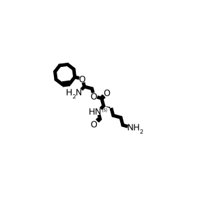 NCCCC[C@H](NC=O)C(=O)OCC(N)OC1C#CCCCCC1